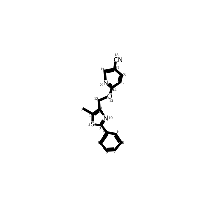 Cc1sc(-c2ccccc2)nc1COc1ccc(C#N)cn1